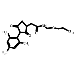 CCCCCNC(=O)CC1CC(=O)C(c2c(C)cc(C)cc2C)C1=O